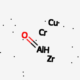 [Cr].[Cu].[O]=[AlH].[Zr]